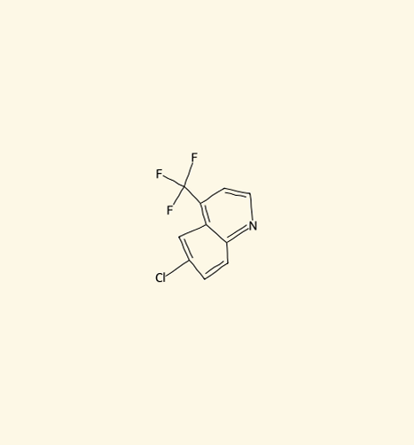 FC(F)(F)c1ccnc2ccc(Cl)cc12